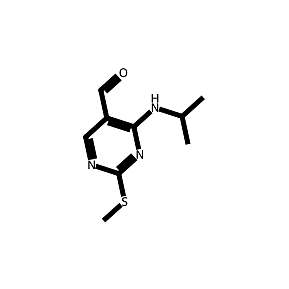 CSc1ncc(C=O)c(NC(C)C)n1